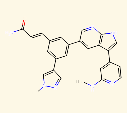 CNc1cc(-c2c[nH]c3ncc(-c4cc(/C=C/C(N)=O)cc(-c5cnn(C)c5)c4)cc23)ccn1